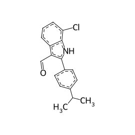 CC(C)c1ccc(-c2[nH]c3c(Cl)cccc3c2C=O)cc1